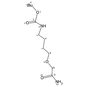 CC(C)(C)OC(=O)NCCCCOCC(N)=O